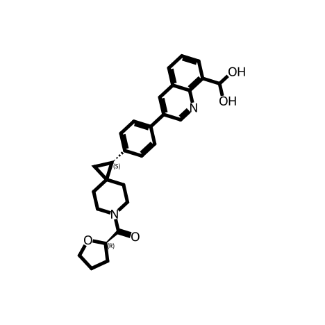 O=C([C@H]1CCCO1)N1CCC2(CC1)C[C@@H]2c1ccc(-c2cnc3c(C(O)O)cccc3c2)cc1